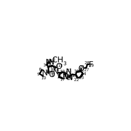 Cn1ncc(C(=O)N2CCC2)c1C(=O)Nc1ccn2nc(-c3cccc(OCCF)c3)nc2c1